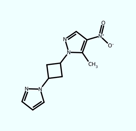 Cc1c([N+](=O)[O-])cnn1C1CC(n2cccn2)C1